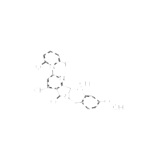 COc1ccc(CN2Cc3nc(-n4c(F)cccc4=O)cc(Cl)c3C2=O)c(OC)c1